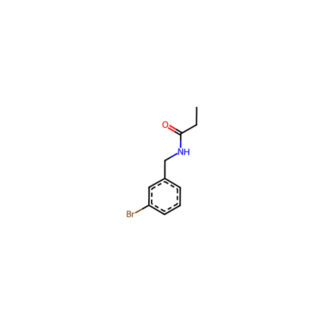 CCC(=O)NCc1cccc(Br)c1